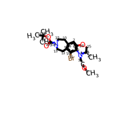 COCCN1c2c(cc3c(c2Br)CCN(C(=O)OC(C)(C)C)CC3)OC[C@@H]1C